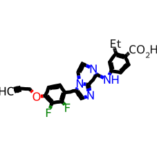 C#CCOc1ccc(-c2cnc3c(Nc4ccc(C(=O)O)c(CC)c4)nccn23)c(F)c1F